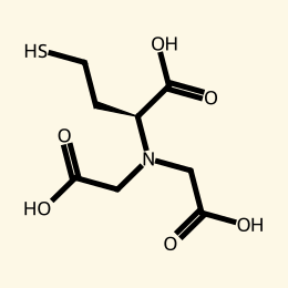 O=C(O)CN(CC(=O)O)[C@@H](CCS)C(=O)O